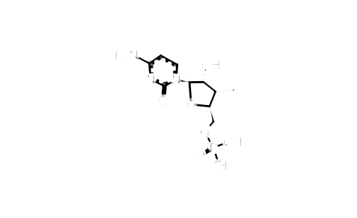 C[C@H]1[C@@H](O)[C@H](n2ccc(N)nc2=O)O[C@@H]1COP(=O)(O)O